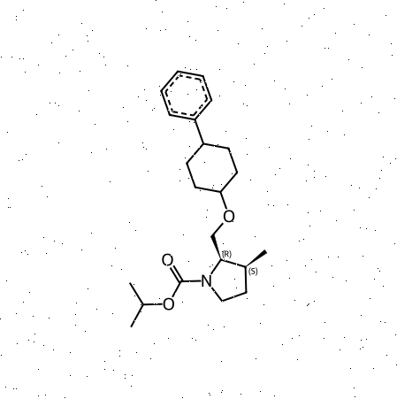 CC(C)OC(=O)N1CC[C@H](C)[C@@H]1COC1CCC(c2ccccc2)CC1